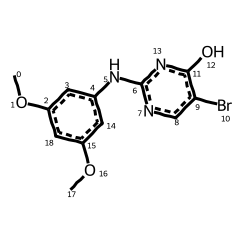 COc1cc(Nc2ncc(Br)c(O)n2)cc(OC)c1